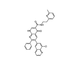 Cc1cccc(CCNC(=O)c2c[nH]c3nc(-c4ccccc4)c(-c4cc(Cl)c5ncccc5c4)cc3c2=O)n1